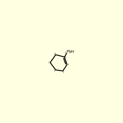 [PbH][C]1=CCCCC1